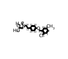 Cc1ccc(Cl)c(COc2ccc(CCN(C)CC(=O)O)cc2)c1